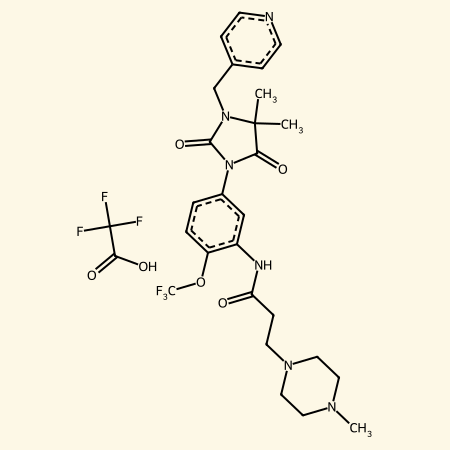 CN1CCN(CCC(=O)Nc2cc(N3C(=O)N(Cc4ccncc4)C(C)(C)C3=O)ccc2OC(F)(F)F)CC1.O=C(O)C(F)(F)F